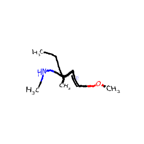 CCC(C)(/C=C/OC)NC